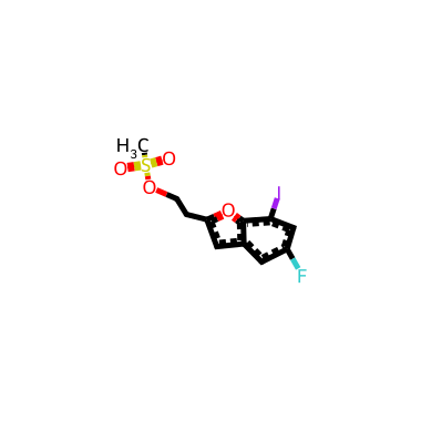 CS(=O)(=O)OCCc1cc2cc(F)cc(I)c2o1